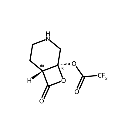 O=C1O[C@]2(OC(=O)C(F)(F)F)CNCC[C@@H]12